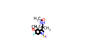 COc1cc2c(C(C)(C)CNC(C)=O)cn(SI)c2cc1F